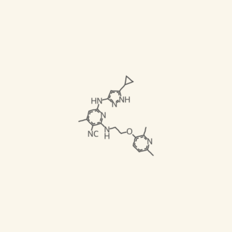 [C-]#[N+]c1c(C)cc(Nc2cc(C3CC3)[nH]n2)nc1NCCOc1ccc(C)nc1C